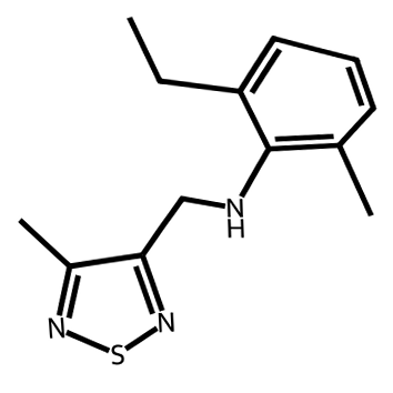 CCc1cccc(C)c1NCc1nsnc1C